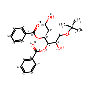 CC(C)(C)[Si](C)(C)OC[C@@H](O)[C@@H](OC(=O)c1ccccc1)[C@@H](CCO)OC(=O)c1ccccc1